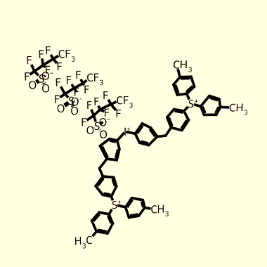 Cc1ccc([S+](c2ccc(C)cc2)c2ccc(Cc3ccc([I+]c4ccc(Cc5ccc([S+](c6ccc(C)cc6)c6ccc(C)cc6)cc5)cc4)cc3)cc2)cc1.O=S(=O)([O-])C(F)(F)C(F)(F)C(F)(F)C(F)(F)F.O=S(=O)([O-])C(F)(F)C(F)(F)C(F)(F)C(F)(F)F.O=S(=O)([O-])C(F)(F)C(F)(F)C(F)(F)C(F)(F)F